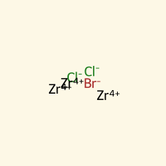 [Br-].[Cl-].[Cl-].[Zr+4].[Zr+4].[Zr+4]